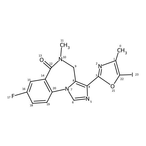 Cc1nc(-c2ncn3c2CN(C)C(=O)c2cc(F)ccc2-3)oc1I